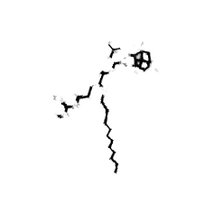 CCCCCCCCCCCN[C@@H](CCCNC(=N)NC)C(=O)N[C@@H](CC(C)C)B1O[C@@H]2C[C@@H]3C[C@@H](C3(C)C)[C@]2(C)O1